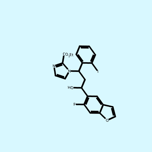 CCOC(=O)c1nccn1C(CC(O)c1cc2ccoc2cc1F)c1ccccc1I